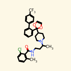 Cc1cccc(Cl)c1C(=O)NCCC(C)N1CCC(C2(c3ccccc3-c3ccc(C(F)(F)F)cc3)OC=CO2)CC1